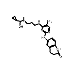 O=C1CCc2cc(Nc3ncc(C(F)(F)F)c(NCCCNC(O)C4CC4)n3)ccc2N1